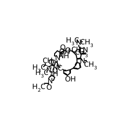 C=CC(=O)N1CC[C@H](C(=O)N(C)[C@H](C(=O)N[C@H]2Cc3cc(O)cc(c3)-c3ccc4c(c3)c(c(-c3cncc(CN(C)C)c3)n4CC)CC(C)(C)COC(=O)[C@@]3(O)CCCN(N3)C2=O)C(C)C)C1